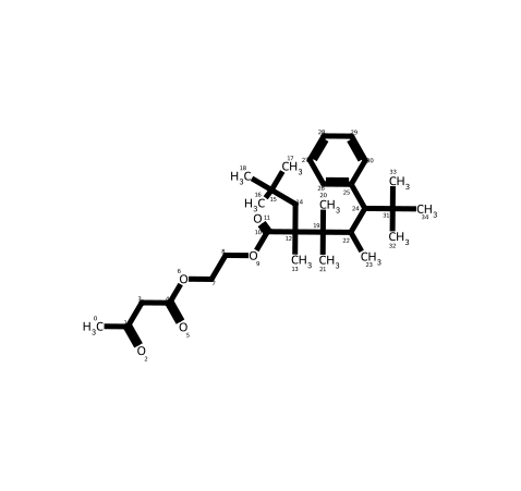 CC(=O)CC(=O)OCCOC(=O)C(C)(CC(C)(C)C)C(C)(C)C(C)C(c1ccccc1)C(C)(C)C